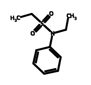 CCN(c1ccccc1)S(=O)(=O)CC